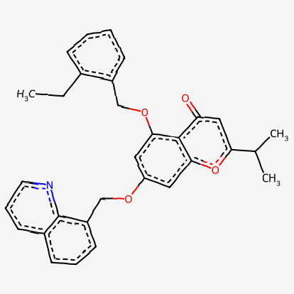 CCc1ccccc1COc1cc(OCc2cccc3cccnc23)cc2oc(C(C)C)cc(=O)c12